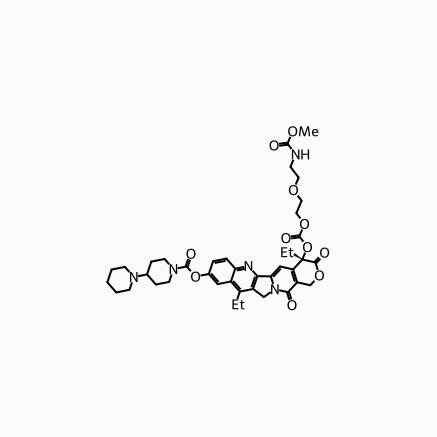 CCc1c2c(nc3ccc(OC(=O)N4CCC(N5CCCCC5)CC4)cc13)-c1cc3c(c(=O)n1C2)COC(=O)[C@@]3(CC)OC(=O)OCCOCCNC(=O)OC